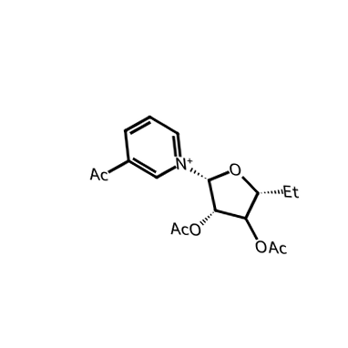 CC[C@H]1O[C@@H]([n+]2cccc(C(C)=O)c2)[C@@H](OC(C)=O)C1OC(C)=O